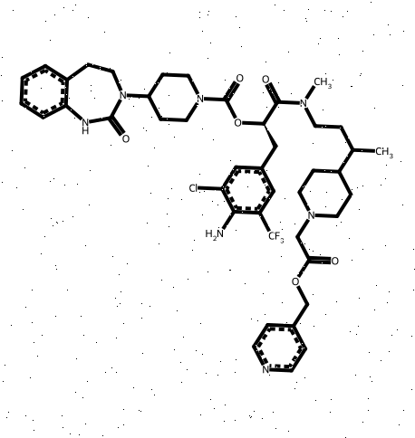 CC(CCN(C)C(=O)[C@@H](Cc1cc(Cl)c(N)c(C(F)(F)F)c1)OC(=O)N1CCC(N2CCc3ccccc3NC2=O)CC1)C1CCN(CC(=O)OCc2ccncc2)CC1